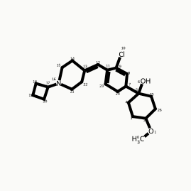 COC1CCC(O)(C2C=C(Cl)C(C=C3CCN(C4CCC4)CC3)=CC2)CC1